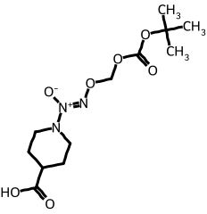 CC(C)(C)OC(=O)OCON=[N+]([O-])N1CCC(C(=O)O)CC1